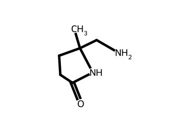 CC1(CN)CCC(=O)N1